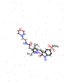 CNS(=O)(=O)c1ccc2c(c1)/C(=C/c1[nH]c(C)c(CC(=O)NCCN3CCOCC3)c1C)C(=O)N2